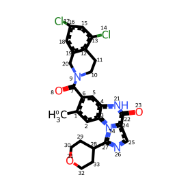 Cc1cc2c(cc1C(=O)N1CCc3c(Cl)cc(Cl)cc3C1)[nH]c(=O)c1cnc(C3CCOCC3)n12